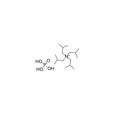 CC(C)C[N+](CC(C)C)(CC(C)C)CC(C)C.O=P(O)(O)O